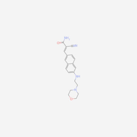 N#C/C(=C\c1ccc2cc(NCCN3CCOCC3)ccc2c1)C(N)=O